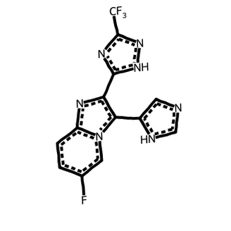 Fc1ccc2nc(-c3nc(C(F)(F)F)n[nH]3)c(-c3cnc[nH]3)n2c1